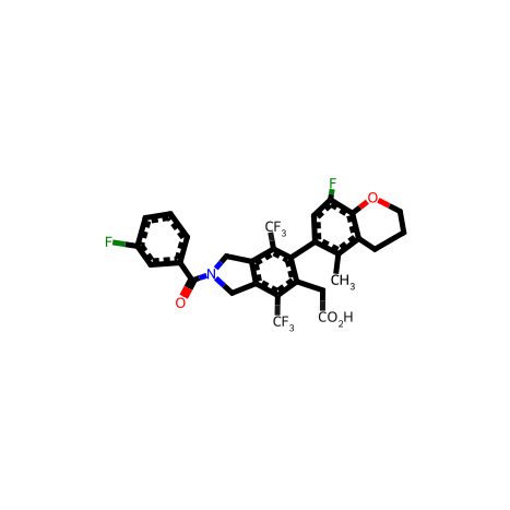 Cc1c(-c2c(CC(=O)O)c(C(F)(F)F)c3c(c2C(F)(F)F)CN(C(=O)c2cccc(F)c2)C3)cc(F)c2c1CCCO2